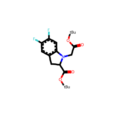 CC(C)(C)OC(=O)CN1c2cc(F)c(F)cc2CC1C(=O)OC(C)(C)C